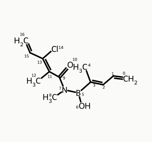 C=C/C=C(\C)B(O)N(C)C(=O)/C(C)=C(\Cl)C=C